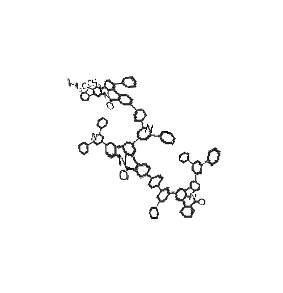 CC1(C)c2ccccc2-c2cc3c(cc21)c1ccc(-c2ccccc2)c2c4ccc(-c5ccc(-c6cc(-c7cc8c9ccc(-c%10ccc(-c%11cc(-c%12ccccc%12)cc(-c%12cc%13c%14ccccc%14c(=O)n%14c%15ccc(-c%16cc(-c%17ccccc%17)cc(-c%17ccccc%17)c%16)cc%15c(c%12)c%13%14)c%11)cc%10)cc9c(=O)n9c%10ccc(-c%11cc(-c%12ccccc%12)nc(-c%12ccccc%12)c%11)cc%10c(c7)c89)cc(-c7ccccc7)n6)cc5)cc4c(=O)n3c12